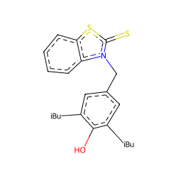 CCC(C)c1cc(Cn2c(=S)sc3ccccc32)cc(C(C)CC)c1O